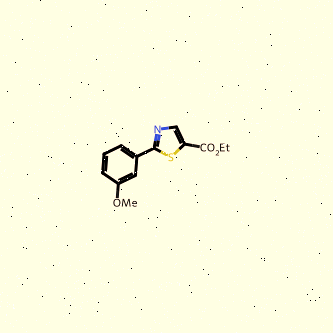 CCOC(=O)c1cnc(-c2cccc(OC)c2)s1